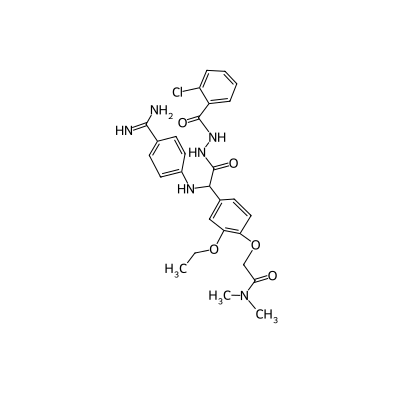 CCOc1cc(C(Nc2ccc(C(=N)N)cc2)C(=O)NNC(=O)c2ccccc2Cl)ccc1OCC(=O)N(C)C